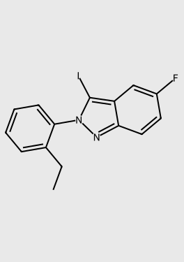 CCc1ccccc1-n1nc2ccc(F)cc2c1I